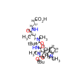 C/C(=C\CN(C)C(=O)C(NC(=O)[C@@H](N(C)C(=O)OC(C)(C)C)C(C)(C)c1cn(C)c2ccccc12)C(C)(C)C)C(=O)NCCCC(=O)O